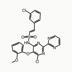 COc1ccccc1Oc1c(Cl)nc(-c2ncccn2)nc1NS(=O)(=O)C=Cc1cccc(Cl)c1